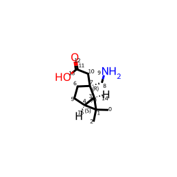 CC1(C)[C@H]2[C@@H]1CC[C@@]2(CN)CC(=O)O